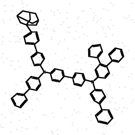 c1ccc(-c2ccc(N(c3ccc(-c4ccc(N(c5ccc(-c6ccccc6)cc5)c5ccc(-c6ccccc6)c(-c6ccccc6)c5)cc4)cc3)c3ccc(-c4ccc(C56CC7CC(CC(C7)C5)C6)cc4)cc3)cc2)cc1